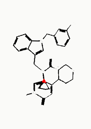 Cn1ccc(C2CCNC[C@@H]2C(=O)N(Cc2cn(Cc3cccc(C#N)c3)c3ccccc23)C2CC2)cc1=O